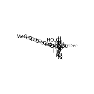 CCCCCCCCCCCCCCCCCCCC(=O)N[C@@H](CCC(=O)O)C(=O)N[C@@H](CCC(=O)O)C(=O)N[C@H](C(=O)N[C@@H](CCCCNC(=O)CCOCCOCCOCCOCCOCCOCCOCCOCCOCCOCCOCCOC)C(=O)N1CCN(c2ccc3ncn(CC(C)=O)c(=O)c3c2)CC1)[C@@H](C)CC